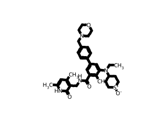 CCN(c1cc(-c2ccc(CN3CCOCC3)cc2)cc(C(=O)NCc2c(C)cc(C)[nH]c2=O)c1C)C1CC[S+]([O-])CC1